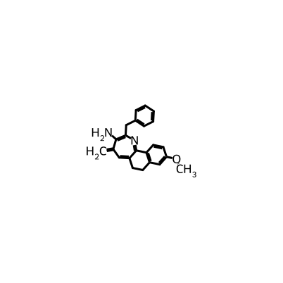 C=C1C=C2CCc3cc(OC)ccc3C2=NC(Cc2ccccc2)=C1N